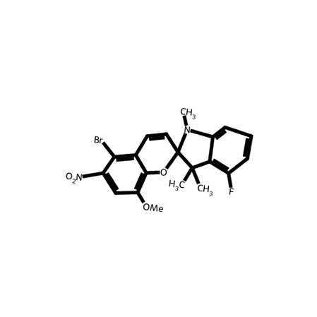 COc1cc([N+](=O)[O-])c(Br)c2c1OC1(C=C2)N(C)c2cccc(F)c2C1(C)C